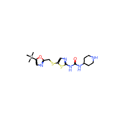 C[Si](C)(C)c1cnc(CSc2cnc(NC(=O)NC3CCNCC3)s2)o1